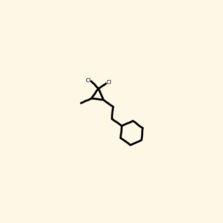 CC1C(CCC2CCCCC2)C1(Cl)Cl